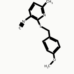 [C-]#[N+]c1ccc(C)nc1SCc1ccc(OC)cc1